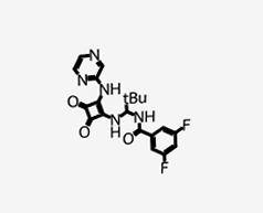 CC(C)(C)C(NC(=O)c1cc(F)cc(F)c1)Nc1c(Nc2cnccn2)c(=O)c1=O